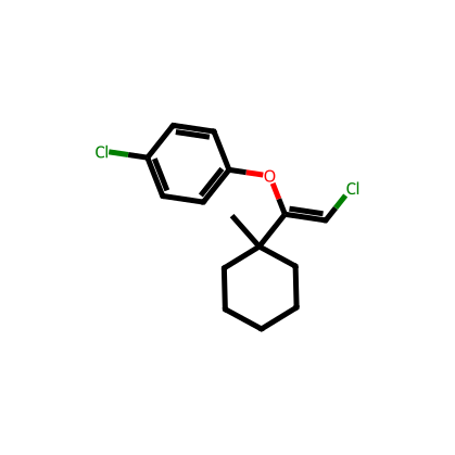 CC1(/C(=C/Cl)Oc2ccc(Cl)cc2)CCCCC1